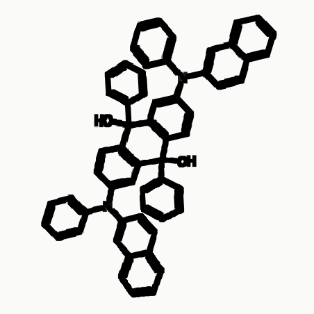 OC1(c2ccccc2)c2ccc(N(c3ccccc3)c3ccc4ccccc4c3)cc2C(O)(c2ccccc2)c2ccc(N(c3ccccc3)c3ccc4ccccc4c3)cc21